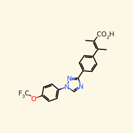 CC(C(=O)O)=C(C)c1ccc(-c2ncn(-c3ccc(OC(F)(F)F)cc3)n2)cc1